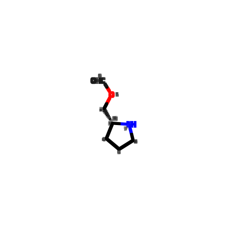 O=COC[C@H]1CCCN1